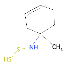 CC1(NSS)CC=CCC1